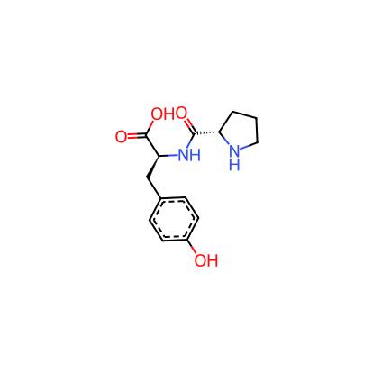 O=C(O)[C@H](Cc1ccc(O)cc1)NC(=O)[C@@H]1CCCN1